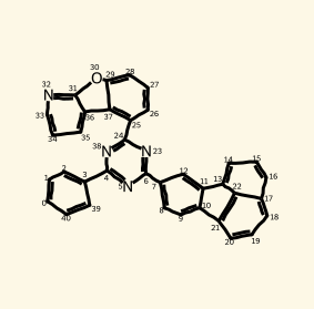 c1ccc(-c2nc(-c3ccc4c(c3)-c3cccc5cccc-4c35)nc(-c3cccc4oc5ncccc5c34)n2)cc1